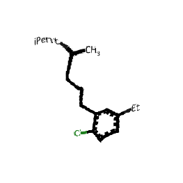 CCCC(C)C(C)CCCc1cc(CC)ccc1Cl